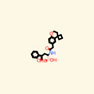 O=C(Cc1ccc2c(c1)C1(CCC1)CCO2)NC(Cc1coc2ccccc12)B(O)O